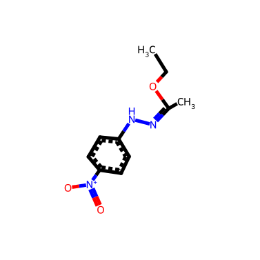 CCOC(C)=NNc1ccc([N+](=O)[O-])cc1